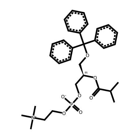 CC(C)C(=O)O[C@H](COC(c1ccccc1)(c1ccccc1)c1ccccc1)COP(=O)([O-])OCC[N+](C)(C)C